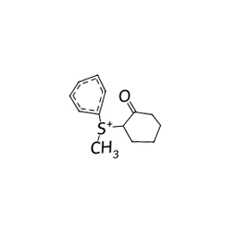 C[S+](c1ccccc1)C1CCCCC1=O